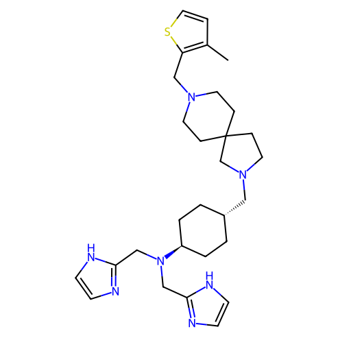 Cc1ccsc1CN1CCC2(CC1)CCN(C[C@H]1CC[C@H](N(Cc3ncc[nH]3)Cc3ncc[nH]3)CC1)C2